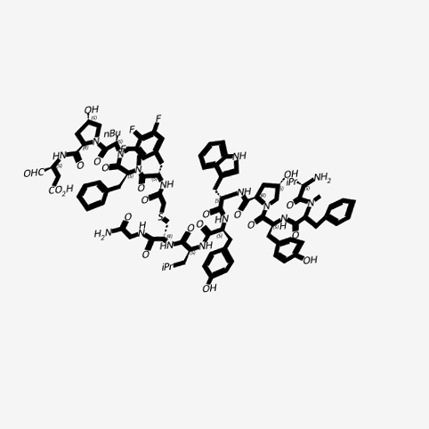 CCCC[C@@H](C(=O)N1C[C@@H](O)C[C@@H]1C(=O)N[C@H](C=O)CC(=O)O)N(C)C(=O)[C@H](Cc1ccccc1)N(C)C(=O)[C@H](Cc1cc(F)c(F)c(F)c1)NC(=O)CSC[C@H](NC(=O)[C@H](CC(C)C)NC(=O)[C@H](Cc1ccc(O)cc1)NC(=O)[C@H](Cc1c[nH]c2ccccc12)NC(=O)[C@H]1C[C@H](O)CN1C(=O)[C@H](Cc1ccc(O)cc1)NC(=O)C(Cc1ccccc1)N(C)C(=O)[C@@H](N)C(C)C)C(=O)NCC(N)=O